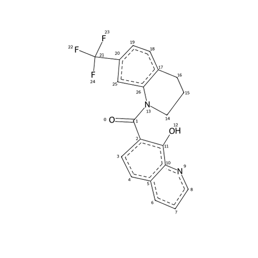 O=C(c1ccc2cccnc2c1O)N1CCCc2ccc(C(F)(F)F)cc21